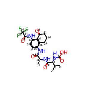 CC(C)[C@H](NC(=O)O)C(=O)N[C@@H](C)C(=O)Nc1ccc(NC(=O)C(F)(F)F)c2c1CCCC2=O